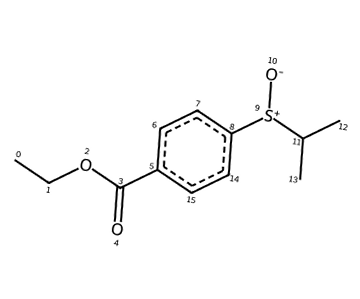 CCOC(=O)c1ccc([S+]([O-])C(C)C)cc1